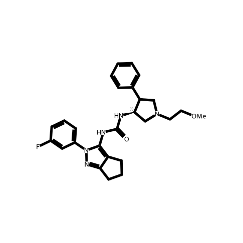 COCCN1CC(c2ccccc2)[C@H](NC(=O)Nc2c3c(nn2-c2cccc(F)c2)CCC3)C1